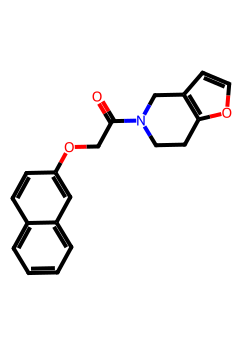 O=C(COc1ccc2ccccc2c1)N1CCc2occc2C1